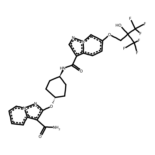 NC(=O)c1c(O[C@H]2CC[C@H](NC(=O)c3cnn4cc(OCC(O)(C(F)(F)F)C(F)(F)F)ccc34)CC2)nn2ccccc12